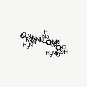 NC(=O)c1cc(S(=O)(=O)Nc2ccc(CCCNc3nc(N)n4nc(-c5ccco5)nc4n3)cc2)cc(Cl)c1O.[NaH]